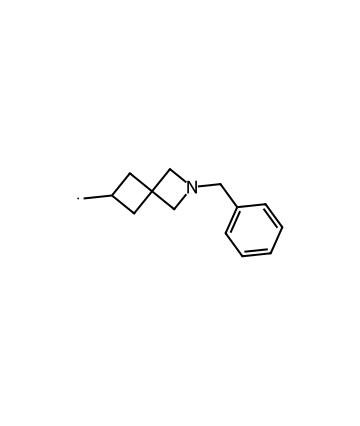 [CH2]C1CC2(C1)CN(Cc1ccccc1)C2